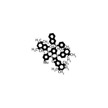 Cc1cc2c(cc1N1c3ccc(C(C)(C)C)cc3B3c4oc5cc6c(cc5c4N(c4ccc5c(c4)C(C)(C)CCC5(C)C)c4cc(N(c5ccccc5)c5ccc7ccccc7c5)cc1c43)C(C)(C)CCC6(C)C)C(C)(C)CCC2(C)C